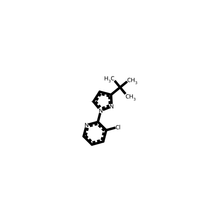 CC(C)(C)c1c[c]n(-c2ncccc2Cl)n1